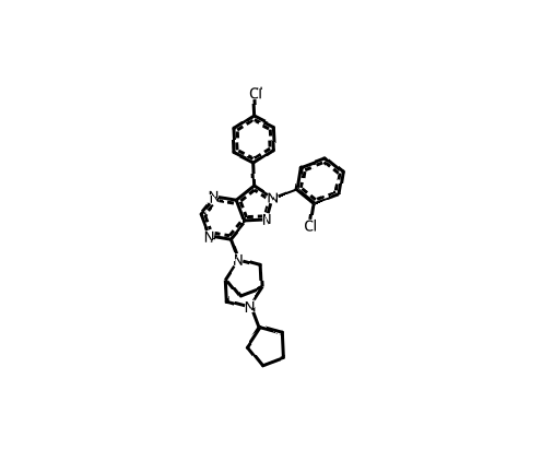 Clc1ccc(-c2c3ncnc(N4CC5CC4CN5C4CCCC4)c3nn2-c2ccccc2Cl)cc1